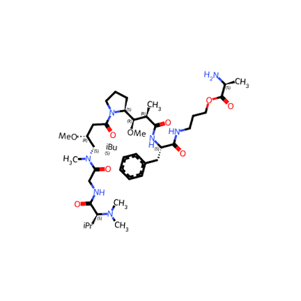 CC[C@H](C)[C@@H]([C@@H](CC(=O)N1CCC[C@H]1[C@H](OC)[C@@H](C)C(=O)N[C@@H](Cc1ccccc1)C(=O)NCCCOC(=O)[C@H](C)N)OC)N(C)C(=O)CNC(=O)[C@H](C(C)C)N(C)C